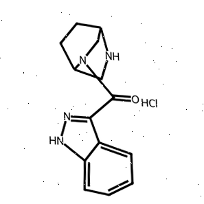 Cl.O=C(c1n[nH]c2ccccc12)N1CC2CCC1CN2